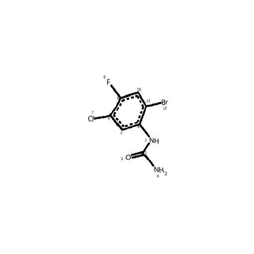 NC(=O)Nc1cc(Cl)c(F)cc1Br